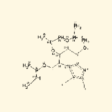 POC1c2nc(I)c(I)n2C(COP(P)PP)C(OP(P)P)C1OPP